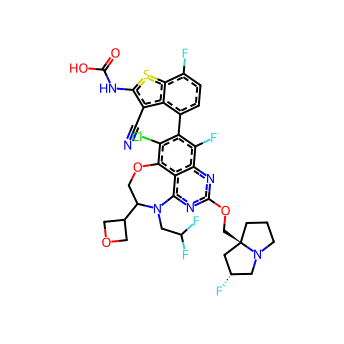 N#Cc1c(NC(=O)O)sc2c(F)ccc(-c3c(Cl)c4c5c(nc(OC[C@@]67CCCN6C[C@H](F)C7)nc5c3F)N(CC(F)F)C(C3COC3)CO4)c12